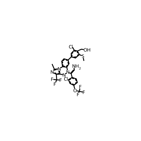 CSc1cc(-c2ccc3c(c2)N(/C(=C\N)c2ccc(OC(F)(F)F)cc2)N(Cl)c2c(C(F)(F)F)nc(C)n2-3)cc(Cl)c1CO